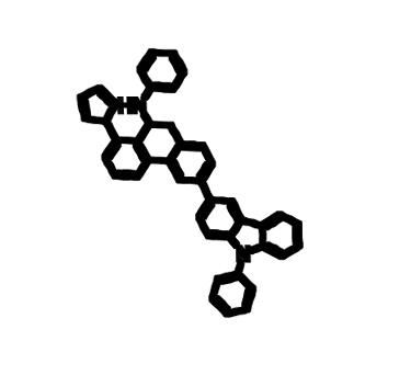 C1=CC(c2cccc3c2C(Nc2ccccc2)Cc2ccc(-c4ccc5c(c4)c4ccccc4n5-c4ccccc4)cc2-3)C=C1